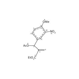 C=C(C(=O)OCC)C(OC(C)=O)c1ccc(OC)c([N+](=O)[O-])c1